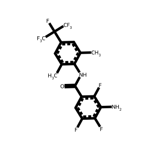 Cc1cc(C(F)(C(F)(F)F)C(F)(F)F)cc(C)c1NC(=O)c1cc(F)c(F)c(N)c1F